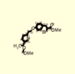 COCOC(C)c1ccc(CCOc2ccc(CC(Br)C(=O)OC)cc2)nc1